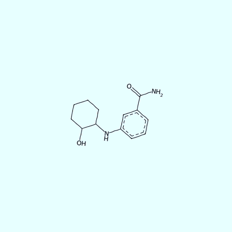 NC(=O)c1cccc(NC2CCCCC2O)c1